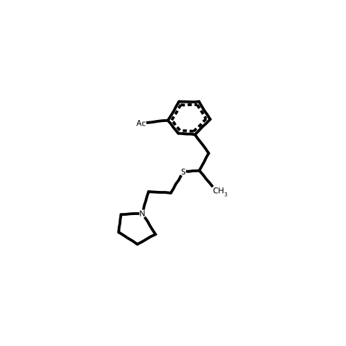 CC(=O)c1cccc(CC(C)SCCN2CCCC2)c1